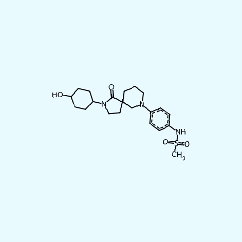 CS(=O)(=O)Nc1ccc(N2CCCC3(CCN(C4CCC(O)CC4)C3=O)C2)cc1